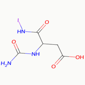 NC(=O)NC(CC(=O)O)C(=O)NI